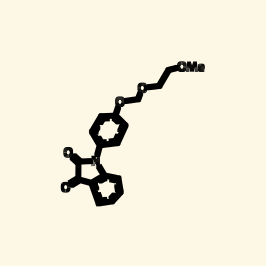 COCCOCOc1ccc(N2C(=O)C(=O)c3ccccc32)cc1